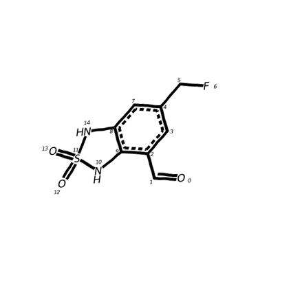 O=Cc1cc(CF)cc2c1NS(=O)(=O)N2